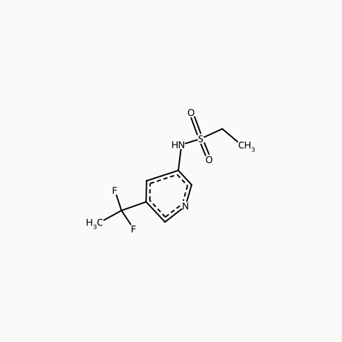 CCS(=O)(=O)Nc1cncc(C(C)(F)F)c1